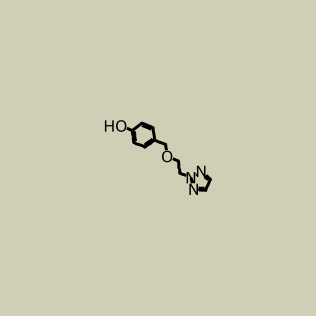 Oc1ccc(COCCn2nccn2)cc1